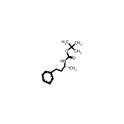 C[C@H](CCc1ccccc1)NC(=O)OC(C)(C)C